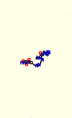 CCn1cnnc1-c1cccc(N2Cc3c(cc(N4CCC[C@H]4C)nc3CN(C)CC#CCN3CCN(CC#Cc4ccc5c(c4)CN(C4CCC(=O)NC4=O)C5=O)CC3)C2=O)n1